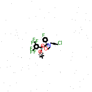 CC(C)(C)[Si](C)(C)OC[C@@H](O[C@H]1OCCN(CC#CCCl)[C@H]1c1ccc(F)cc1)c1cc(C(F)(F)F)cc(C(F)(F)F)c1